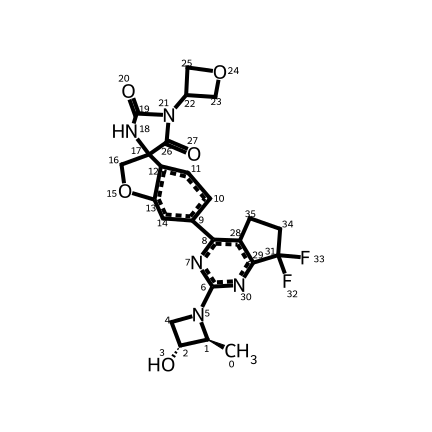 C[C@H]1[C@H](O)CN1c1nc(-c2ccc3c(c2)OCC32NC(=O)N(C3COC3)C2=O)c2c(n1)C(F)(F)CC2